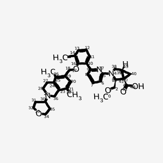 COC[C@H]1N(c2cccc(-c3cccc(C)c3OCc3cc(C)c4c(c3C)CCN(C3CCOCC3)C4)n2)C[C@@H]2C[C@@]21C(=O)O